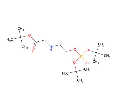 CC(C)(C)OC(=O)CNCCOP(=O)(OC(C)(C)C)OC(C)(C)C